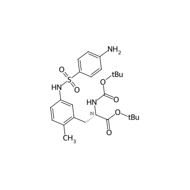 Cc1ccc(NS(=O)(=O)c2ccc(N)cc2)cc1C[C@H](NC(=O)OC(C)(C)C)C(=O)OC(C)(C)C